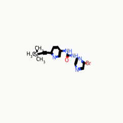 C[Si](C)(C)C#Cc1ccc(NC(=O)Nc2cncc(Br)n2)cn1